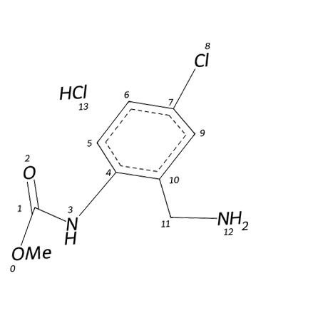 COC(=O)Nc1ccc(Cl)cc1CN.Cl